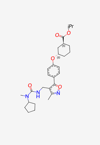 Cc1noc(-c2ccc(O[C@H]3CCC[C@H](C(=O)OC(C)C)C3)cc2)c1CNC(=O)N(C)C1CCCC1